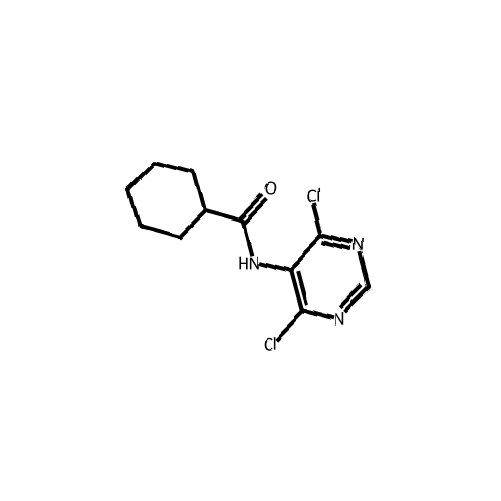 O=C(Nc1c(Cl)ncnc1Cl)C1CCCCC1